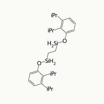 CC(C)c1cccc(O[SiH2]CC[SiH2]Oc2cccc(C(C)C)c2C(C)C)c1C(C)C